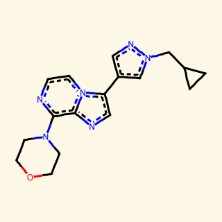 c1cn2c(-c3cnn(CC4CC4)c3)cnc2c(N2CCOCC2)n1